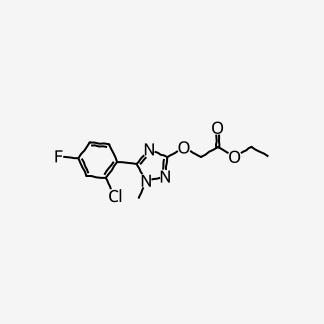 CCOC(=O)COc1nc(-c2ccc(F)cc2Cl)n(C)n1